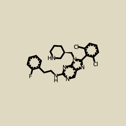 Fc1ccccc1CCNc1ncc2nc(-c3c(Cl)cccc3Cl)n(C[C@@H]3CCCNC3)c2n1